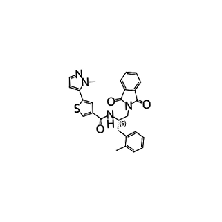 Cc1ccccc1C[C@@H](CN1C(=O)c2ccccc2C1=O)NC(=O)c1csc(-c2ccnn2C)c1